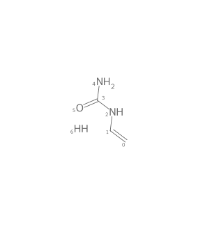 C=CNC(N)=O.[HH]